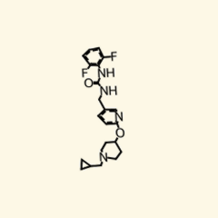 O=C(NCc1ccc(OC2CCN(CC3CC3)CC2)nc1)Nc1c(F)cccc1F